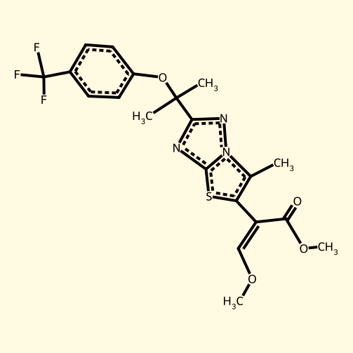 COC=C(C(=O)OC)c1sc2nc(C(C)(C)Oc3ccc(C(F)(F)F)cc3)nn2c1C